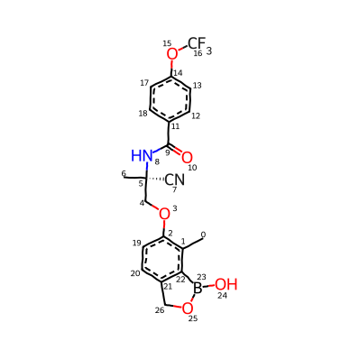 Cc1c(OC[C@](C)(C#N)NC(=O)c2ccc(OC(F)(F)F)cc2)ccc2c1B(O)OC2